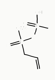 C=CCP(=O)(OC)OP(C)(=O)O